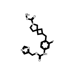 CC(C)(C)OC(=O)N1CCC2(CC(Cc3ccc(NC(=O)OCc4cnco4)cc3F)C2)C1